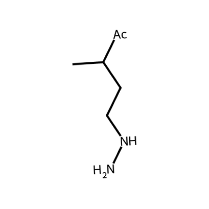 CC(=O)C(C)CCNN